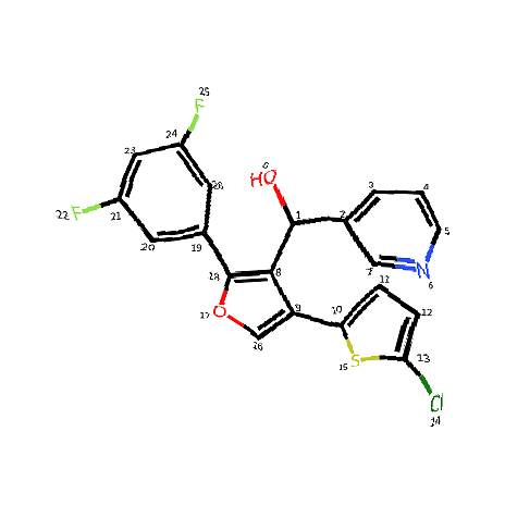 OC(c1cccnc1)c1c(-c2ccc(Cl)s2)coc1-c1cc(F)cc(F)c1